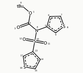 CC(C)(C)OC(=O)N(c1ccsc1)S(=O)(=O)c1ccsc1